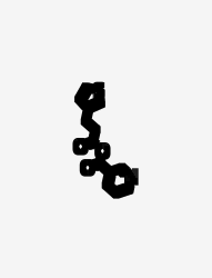 O=C(CCc1ccsc1)OC(=O)c1cccnc1